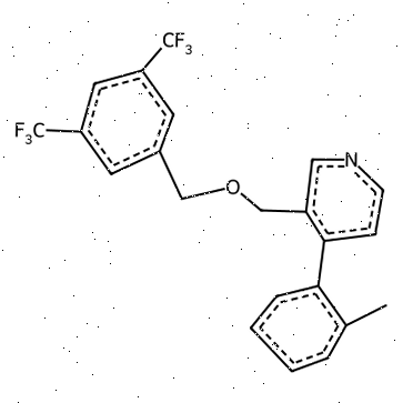 Cc1ccccc1-c1ccncc1COCc1cc(C(F)(F)F)cc(C(F)(F)F)c1